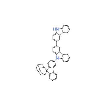 c1ccc2c(c1)-c1cc(-n3c4ccccc4c4cc(-c5ccc6[nH]c7ccccc7c6c5)ccc43)ccc1C21C2CC3CC(C2)CC1C3